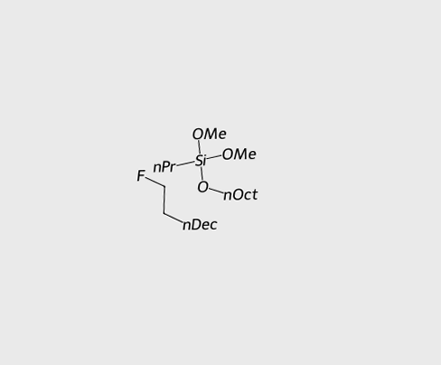 CCCCCCCCCCCCF.CCCCCCCCO[Si](CCC)(OC)OC